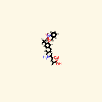 CC(C[C@H](O)[C@@H](N)C[C@H](Cc1ccc(C(C)(C)C)c(OCc2ccccc2[N+](=O)[O-])c1)C(C)C)C(=O)O